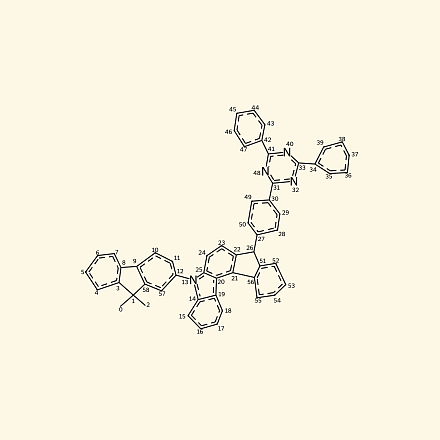 CC1(C)c2ccccc2-c2ccc(-n3c4ccccc4c4c5c(ccc43)C(c3ccc(-c4nc(-c6ccccc6)nc(-c6ccccc6)n4)cc3)c3ccccc3-5)cc21